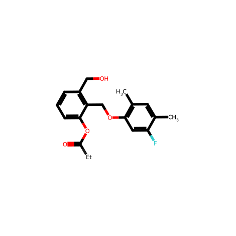 CCC(=O)Oc1cccc(CO)c1COc1cc(F)c(C)cc1C